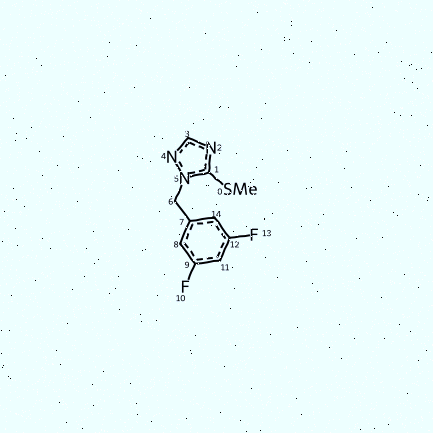 CSc1ncnn1Cc1cc(F)cc(F)c1